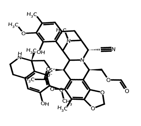 COc1cc2c(cc1O)CCN[C@]2(C)C[S+]([O-])[C@@H]1c2c(OC(C)=O)c(C)c3c(c2[C@H](COC=O)N2C1C1c4c(cc(C)c(OC)c4O)CC([C@@H]2C#N)N1C)OCO3